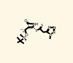 C[C@@H](O[Si](C)(C)C(C)(C)C)[C@@H]1C(=O)N[C@@H]1SC(=S)Cc1nnnn1C